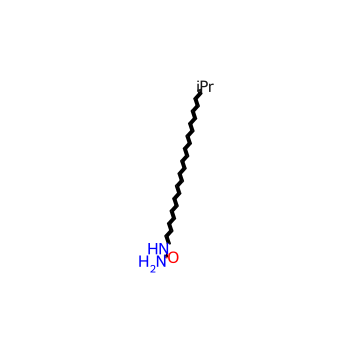 CC(C)CCCCCCCCCCCCCCCCCCCCCCCCCNC(N)=O